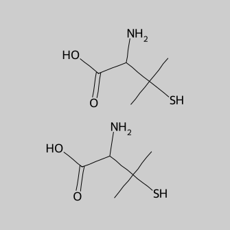 CC(C)(S)C(N)C(=O)O.CC(C)(S)C(N)C(=O)O